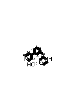 Cl.c1cc(C[C@@H]2COCCN2)cc(-c2ccncc2)c1